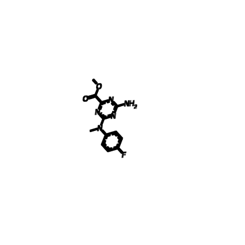 COC(=O)c1nc(N)nc(N(C)c2ccc(F)cc2)n1